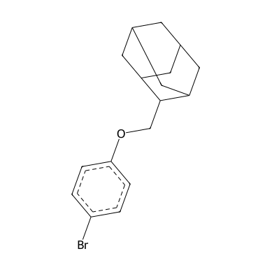 Brc1ccc(OCC2C3CC4CC(C3)CC2C4)cc1